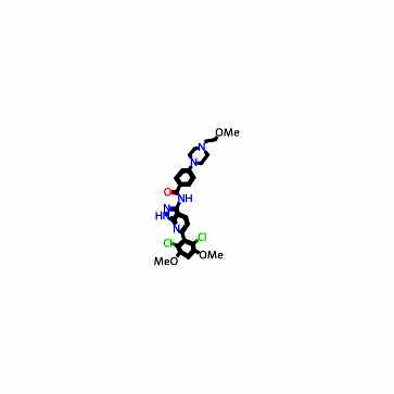 COCCN1CCN(c2ccc(C(=O)Nc3n[nH]c4nc(-c5c(Cl)c(OC)cc(OC)c5Cl)ccc34)cc2)CC1